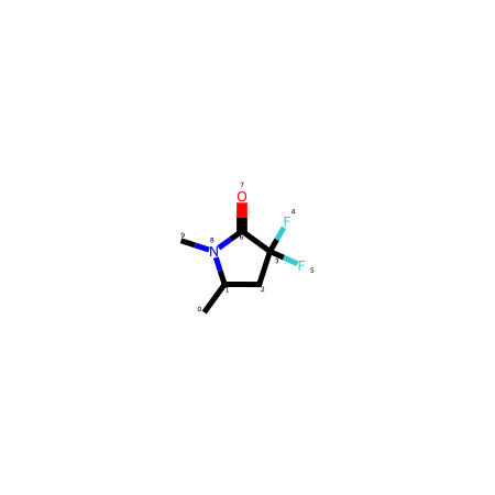 CC1CC(F)(F)C(=O)N1C